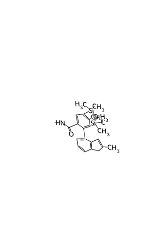 CC1=Cc2c(cccc2-c2c(C([NH])=O)cc3c(C)c2[Si](C)(C)O[Si]3(C)C)C1